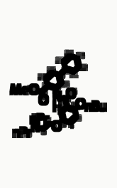 CCCCOc1ccc(OCCN(CCC)CCC)cc1C(=O)Nc1cc(-c2ccccc2)ccc1C(=O)OC